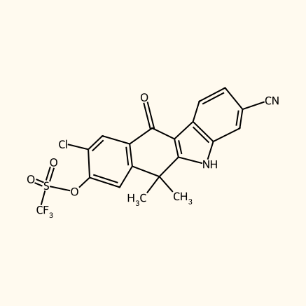 CC1(C)c2cc(OS(=O)(=O)C(F)(F)F)c(Cl)cc2C(=O)c2c1[nH]c1cc(C#N)ccc21